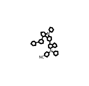 N#Cc1ccc(N(c2ccccc2)c2ccc(-c3ccc4c(c3)c3c(-c5cccc(-c6ccccc6)c5)cccc3n4-c3ccccc3)c3ccccc23)cc1